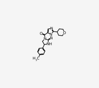 Cc1ccc(C2Cn3c(nn4c(C5CCOCC5)ncc4c3=O)N2)cc1